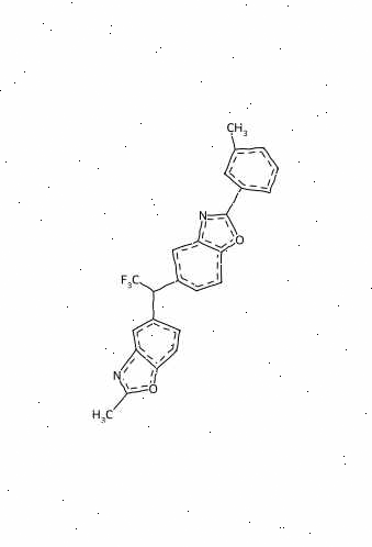 Cc1cccc(-c2nc3cc(C(c4ccc5oc(C)nc5c4)C(F)(F)F)ccc3o2)c1